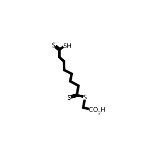 O=C(O)CSC(=S)CCCCCCC(=S)S